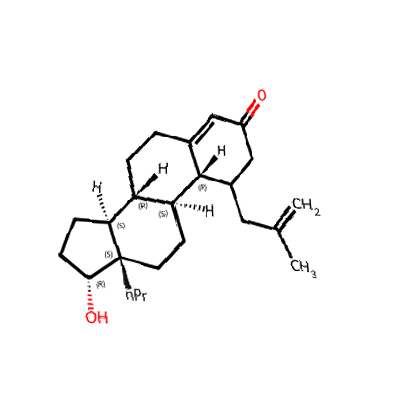 C=C(C)CC1CC(=O)C=C2CC[C@@H]3[C@H](CC[C@]4(CCC)[C@H](O)CC[C@@H]34)[C@H]21